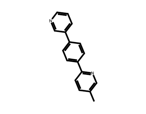 Cc1ccc(-c2ccc(-c3cccnc3)cc2)nc1